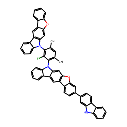 N#Cc1cc(C#N)c(-n2c3ccccc3c3cc4c(cc32)oc2cc(-c3ccc5c(c3)[nH]c3ccccc35)ccc24)c(F)c1-n1c2ccccc2c2cc3c(cc21)oc1ccccc13